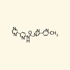 Cc1ccc(-c2cn(CC(=O)Nc3ccc(-c4cnccn4)cn3)cn2)cn1